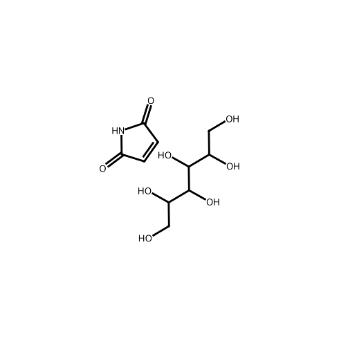 O=C1C=CC(=O)N1.OCC(O)C(O)C(O)C(O)CO